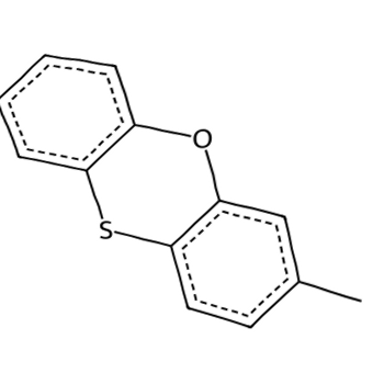 Cc1ccc2c(c1)Oc1ccccc1S2